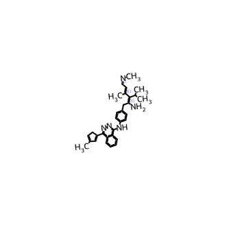 C\N=C/C=C(C)/C(=C(/N)Cc1ccc(Nc2nnc(C3=CC(C)=CC3)c3ccccc23)cc1)C(C)C